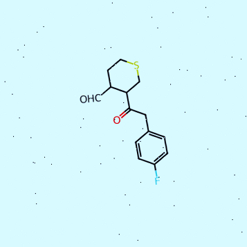 O=CC1CCSCC1C(=O)Cc1ccc(F)cc1